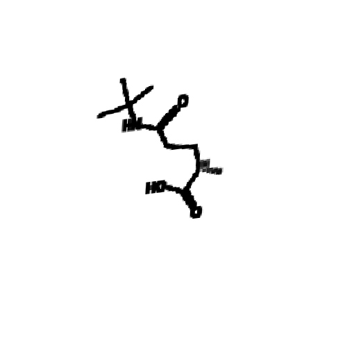 C[C@@H](CCC(=O)NC(C)(C)C)C(=O)O